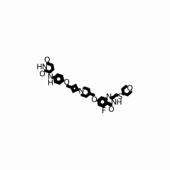 O=C1CCC(Nc2ccc(OCC3CC(N4CCC(COc5cc(F)c6c(=O)[nH]c(CSC7CCOCC7)nc6c5)CC4)C3)cc2)C(=O)N1